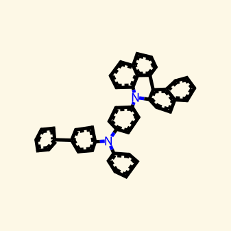 c1ccc(-c2ccc(N(c3ccccc3)c3ccc(N4c5ccc6ccccc6c5-c5cccc6cccc4c56)cc3)cc2)cc1